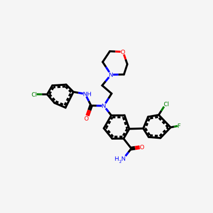 NC(=O)c1ccc(N(CCN2CCOCC2)C(=O)Nc2ccc(Cl)cc2)cc1-c1ccc(F)c(Cl)c1